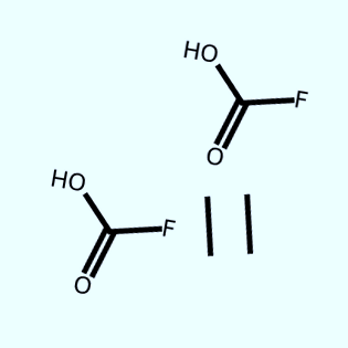 CC.CC.O=C(O)F.O=C(O)F